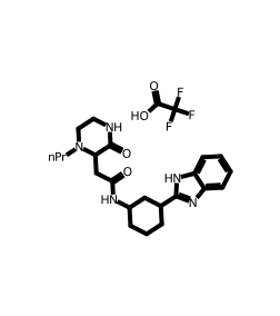 CCCN1CCNC(=O)C1CC(=O)NC1CCCC(c2nc3ccccc3[nH]2)C1.O=C(O)C(F)(F)F